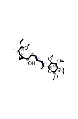 CC[C@H](OC)[C@@H](C)[C@@H]1C=C1[C@@H](O)[C@H](C)/C=C/C=C(\C)[C@H]1O[C@H](OC)[C@H](OC)[C@@H](OC)[C@@H]1OC